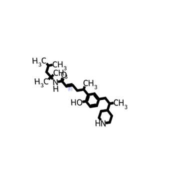 CC(C)CC(C)(C)NC(=O)/C=C/CC(C)c1cc(CC(C)C2CCNCC2)ccc1O